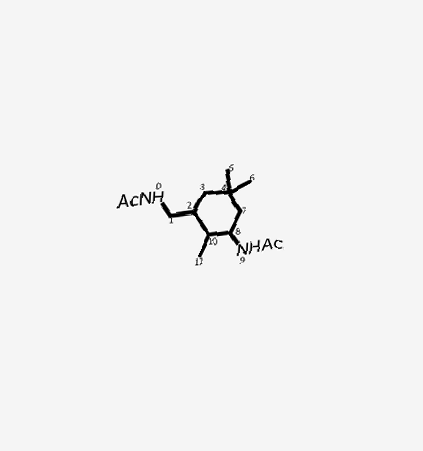 CC(=O)NCC1CC(C)(C)CC(NC(C)=O)C1C